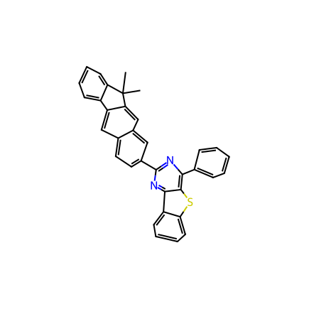 CC1(C)c2ccccc2-c2cc3ccc(-c4nc(-c5ccccc5)c5sc6ccccc6c5n4)cc3cc21